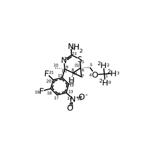 [2H]C([2H])([2H])OC[C@]12C[C@H]1[C@@](C)(c1cc([N+](=O)[O-])cc(F)c1F)N=C(N)S2